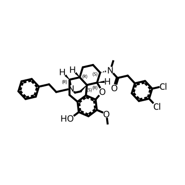 COc1cc(O)c2c3c1O[C@H]1[C@@H](N(C)C(=O)Cc4ccc(Cl)c(Cl)c4)CC[C@H]4[C@@H](C2)N(CCc2ccccc2)CC[C@@]341